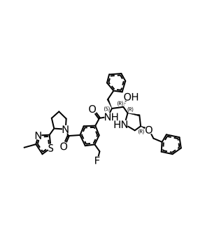 Cc1csc(C2CCCN2C(=O)c2cc(CF)cc(C(=O)N[C@@H](Cc3ccccc3)[C@H](O)[C@H]3C[C@@H](OCc4ccccc4)CN3)c2)n1